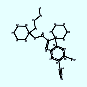 CCCCC1(COC(=O)C2(c3ccc(C#N)c(F)c3)CCCCC2)CCCCC1